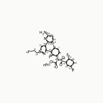 CCCOC(=O)N(c1ccc(F)c(-c2nn(CCF)cc2-c2ccnc(N)n2)c1F)S(=O)(=O)c1cc(F)ccc1F